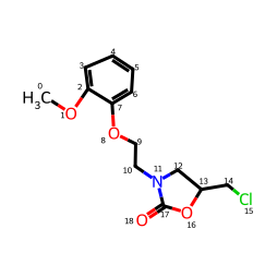 COc1ccccc1OCCN1CC(CCl)OC1=O